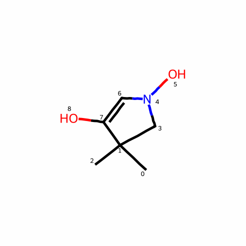 CC1(C)CN(O)C=C1O